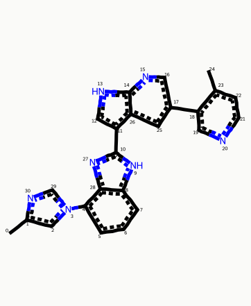 Cc1cn(-c2cccc3[nH]c(-c4c[nH]c5ncc(-c6cnccc6C)cc45)nc23)cn1